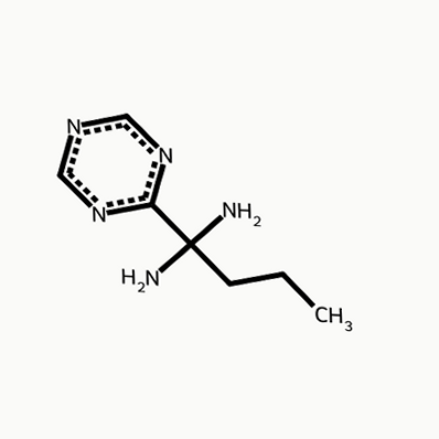 CCCC(N)(N)c1ncncn1